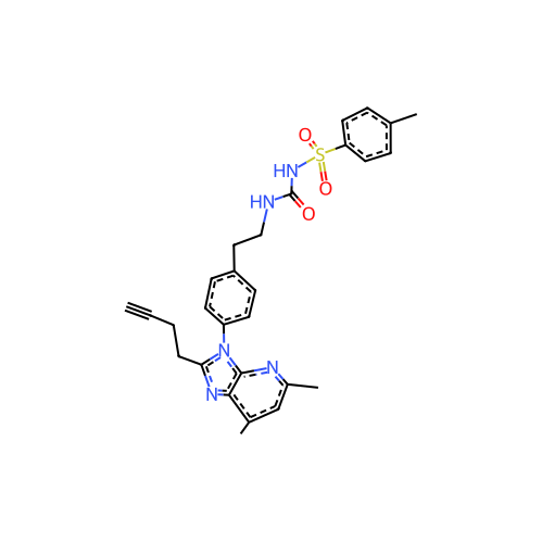 C#CCCc1nc2c(C)cc(C)nc2n1-c1ccc(CCNC(=O)NS(=O)(=O)c2ccc(C)cc2)cc1